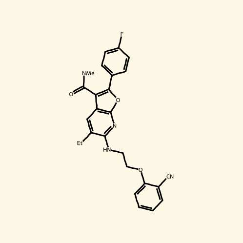 CCc1cc2c(C(=O)NC)c(-c3ccc(F)cc3)oc2nc1NCCOc1ccccc1C#N